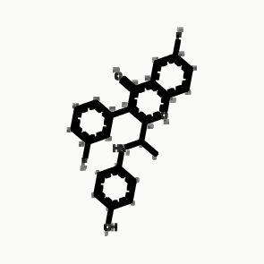 CC(Nc1ccc(O)cc1)c1oc2ccc(F)cc2c(=O)c1-c1cccc(F)c1